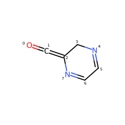 O=C=C1CN=CC=N1